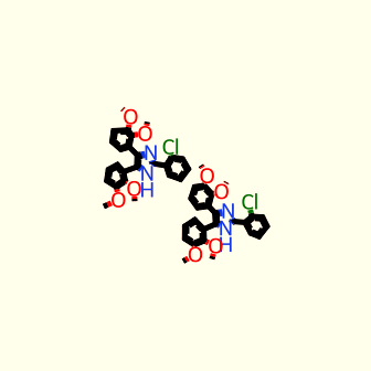 COc1cccc(-c2nc(-c3ccccc3Cl)[nH]c2-c2cccc(OC)c2OC)c1OC.COc1cccc(-c2nc(-c3ccccc3Cl)[nH]c2-c2cccc(OC)c2OC)c1OC